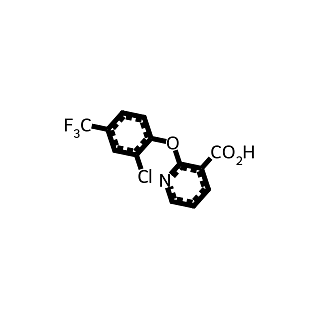 O=C(O)c1cccnc1Oc1ccc(C(F)(F)F)cc1Cl